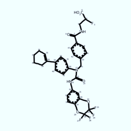 O=C(NCC(F)C(=O)O)c1ccc(CN(C(=O)Nc2ccc3c(c2)OC(F)(F)C(F)(F)O3)c2ccc(C3=CCCCC3)cc2)cc1